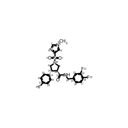 Cn1cnc(S(=O)(=O)N2C[C@@H](C(=O)NCc3ccc(F)c(F)c3)[C@H](c3ccc(F)cc3)C2)c1